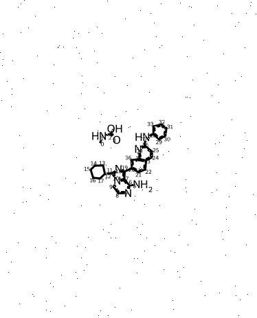 CNC(=O)O.Nc1nccn2c(C3CCCCC3)nc(-c3ccc4ccc(Nc5ccccc5)nc4c3)c12